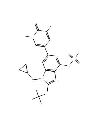 Cc1cc(-c2cc3c(nc(OC(F)(F)F)n3CC3CC3)c(NS(C)(=O)=O)n2)cn(C)c1=O